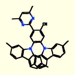 Cc1ccc2c3ccc(C)cc3n(-c3cc(C#N)c(-c4nc(C)cc(C)n4)cc3-n3c4cc(C)ccc4c4ccc(C)cc43)c2c1